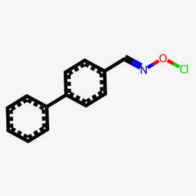 ClON=Cc1ccc(-c2ccccc2)cc1